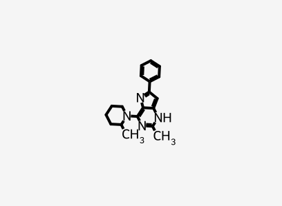 Cc1nc(N2CCCCC2C)c2nc(-c3ccccc3)cc-2[nH]1